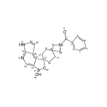 O=C(c1ccccc1)N1CC2(CCC3(CC2)OB(O)c2cnc4[nH]ccc4c23)C1